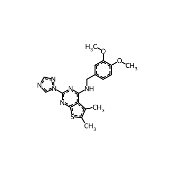 COc1ccc(CNc2nc(-n3cncn3)nc3sc(C)c(C)c23)cc1OC